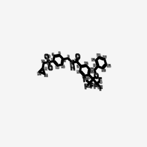 O=C(NCc1ccc(S(=O)(=O)CC2CC2)cc1)c1ccc(C(OCc2ccccc2)(C(F)(F)F)C(F)(F)F)cc1